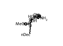 CCCCCCCCCCCCCCCCCOC[C@H](COP(=O)(O)OC[C@H]1O[C@@](C#N)(c2ccc3c(N)ccnn23)[C@H](O)[C@@H]1O)OCc1ccc(OC)cc1